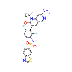 CC1(n2c(=O)c(-c3c(F)ccc(NS(=O)(=O)c4cc5scnc5cc4F)c3F)cc3cnc(N)cc32)CC1